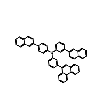 c1cc(-c2ccc3ccccc3c2)cc(N(c2ccc(-c3ccc4ccccc4c3)cc2)c2cccc(-c3cc4ccccc4c4ccccc34)c2)c1